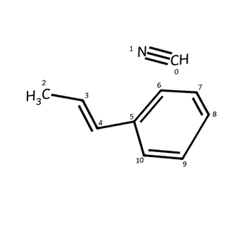 C#N.CC=Cc1ccccc1